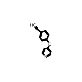 C#Cc1ccc(Oc2ccncc2)cc1